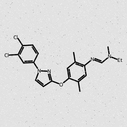 CCN(C)/C=N/c1cc(C)c(Oc2ccn(-c3ccc(Cl)c(Cl)c3)n2)cc1C